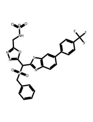 O=[SH](=O)NCc1nnc(C(c2nc3ccc(-c4ccc(C(F)(F)F)cc4)cc3s2)S(=O)(=O)Cc2ccccc2)o1